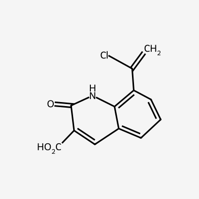 C=C(Cl)c1cccc2cc(C(=O)O)c(=O)[nH]c12